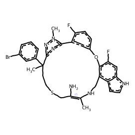 C/C1=C(/N)CSCCC(C)(c2cccc(Br)c2)c2nc(n(C)n2)-c2cc(ccc2F)Oc2c(F)cc3[nH]ccc3c2CN1